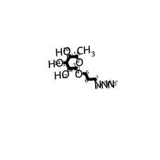 CC1O[C@@H](OCCCN=[N+]=[N-])[C@@H](O)C(O)[C@H]1O